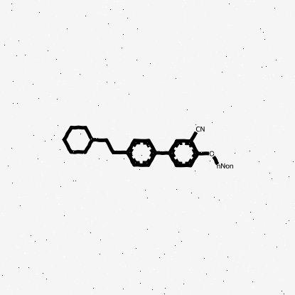 CCCCCCCCCOc1ccc(-c2ccc(CCC3CC[CH]CC3)cc2)cc1C#N